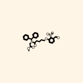 COC(=O)CN(C(=O)CCCCOc1cccc(C=O)c1[N+](=O)[O-])C(c1ccccc1)c1ccccc1